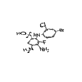 Nc1cc(C(=O)O)c(Nc2ccc(Br)cc2Cl)c(F)c1N